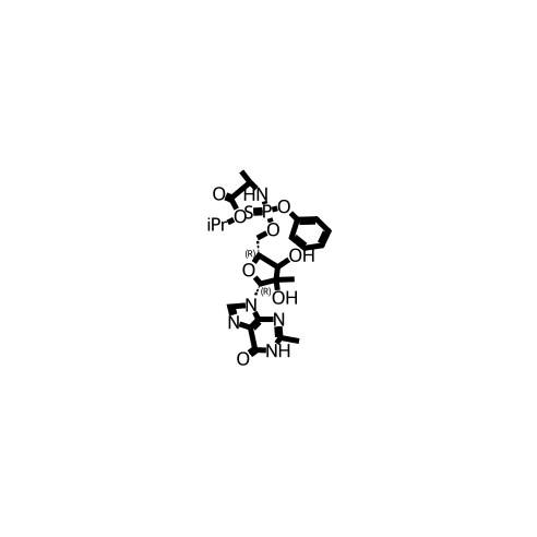 Cc1nc2c(ncn2[C@@H]2O[C@H](COP(=S)(NC(C)C(=O)OC(C)C)Oc3ccccc3)C(O)C2(C)O)c(=O)[nH]1